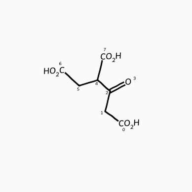 O=C(O)CC(=O)C(CC(=O)O)C(=O)O